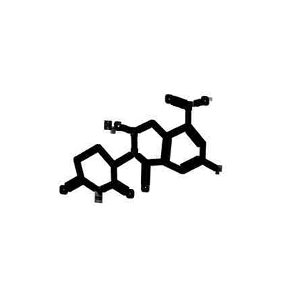 CN1Cc2c(cc(F)cc2[N+](=O)[O-])C(=O)N1C1CCC(=O)NC1=O